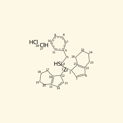 C1=C[CH]([Zr](=[SiH]Cc2ccccc2)[CH]2C=CC3=C2CCCC3)C2=C1CCCC2.Cl.Cl